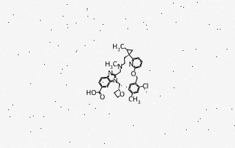 Cc1ccc(COc2cccc([C@@]3(CCN(C)Cc4nc5ccc(C(=O)O)cc5n4C[C@@H]4CCO4)C[C@@H]3C)n2)c(Cl)c1